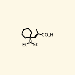 CCN(CC)C1(C=C(C)C(=O)O)CCCCC1